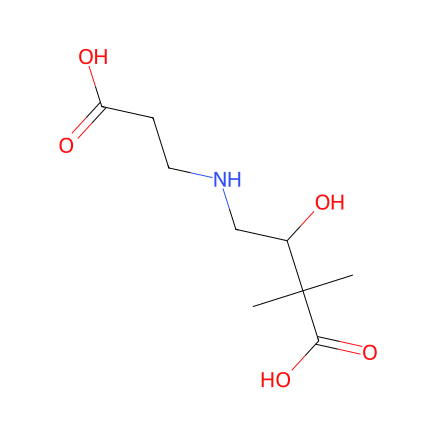 CC(C)(C(=O)O)C(O)CNCCC(=O)O